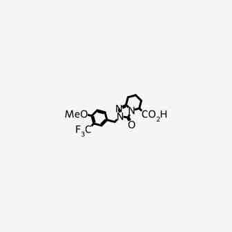 COc1ccc(Cn2nc3n(c2=O)C(C(=O)O)CCC3)cc1C(F)(F)F